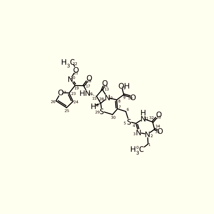 CCn1nc(SCC2=C(C(=O)O)N3C(=O)[C@@H](NC(=O)/C(=N\OC)c4ccco4)[C@H]3SC2)[nH]c(=O)c1=O